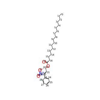 CCCCCCCCCCCCCCCCCC(=O)OC/C=C(/c1ccccc1)[N+](=O)[O-]